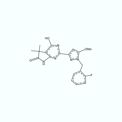 COc1cc(-c2nc(O)c3c(n2)NC(=O)C3(C)C)nn1Cc1ccccc1F